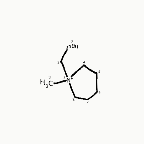 CCCCC[N+]1(C)CCCCC1